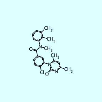 Cc1cc(C)n(-c2cc(C(=O)N(C)c3cccc(C)c3C)ccc2Cl)c(=O)n1